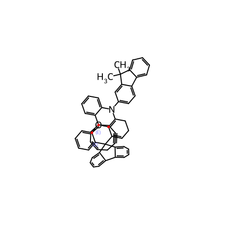 CC1(C)c2ccccc2-c2ccc(N(C3=C4Oc5ccccc5C5(C4=CCC3)c3ccccc3-c3ccccc35)c3ccccc3/C3=C/C=C\CC#CC3)cc21